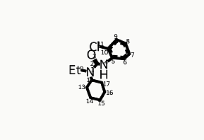 CCN(C(=O)Nc1ccccc1Cl)C1CCCCC1